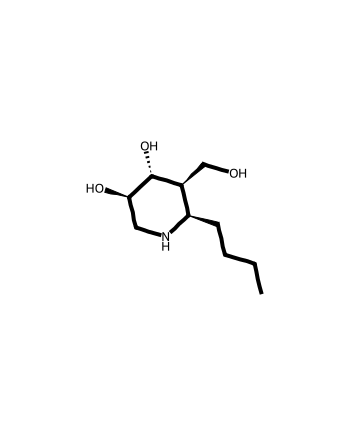 CCCC[C@H]1NC[C@@H](O)[C@H](O)[C@H]1CO